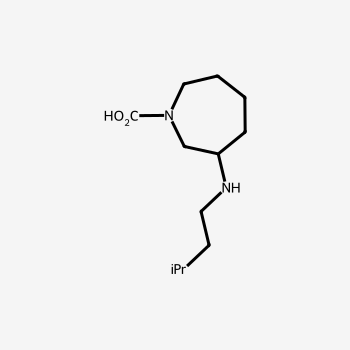 CC(C)CCNC1CCCCN(C(=O)O)C1